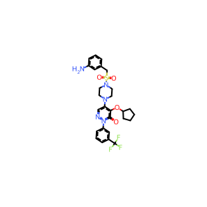 Nc1cccc(CS(=O)(=O)N2CCN(c3cnn(-c4cccc(C(F)(F)F)c4)c(=O)c3OC3CCCC3)CC2)c1